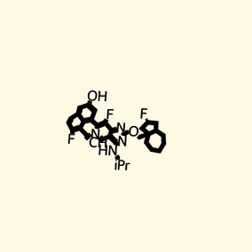 C#Cc1c(F)ccc2cc(O)cc(-c3ncc4c(NCC(C)C)nc(OCC56CCCCCC5C[C@H](F)C6)nc4c3F)c12